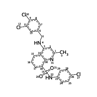 Cc1cc(NCc2ccc(Cl)c(Cl)c2)c2cccc(S(=O)(=O)Nc3ccc(Cl)cc3)c2n1